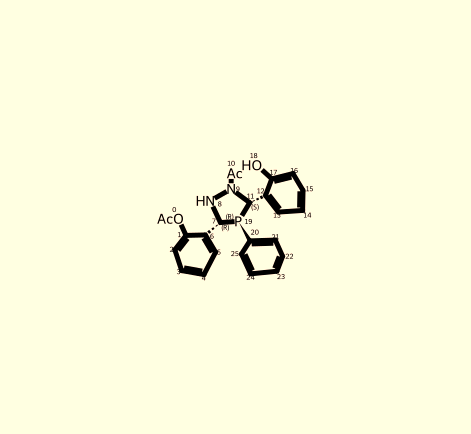 CC(=O)Oc1ccccc1[C@@H]1NN(C(C)=O)[C@H](c2ccccc2O)[P@@]1c1ccccc1